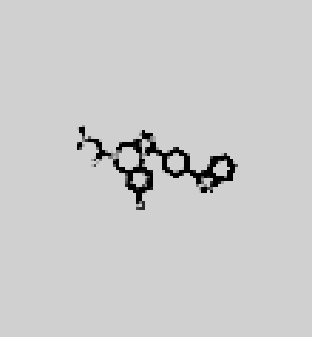 CN(C)CC(=O)N1Cc2cc(Cl)ccc2-n2c(nnc2C2CCC(c3nsc4ccccc34)CC2)C1